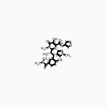 C[C@H](c1nc(C(=O)Nc2cnoc2)c(O)c(=O)n1C)[C@H](c1cnn(C)c1)c1cc(C(=O)N(C)C)ccc1C#N